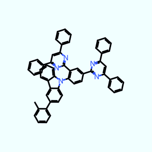 Cc1ccccc1-c1ccc2c(c1)c1ccccc1n2-c1ccc(-c2nc(-c3ccccc3)cc(-c3ccccc3)n2)cc1-c1nc(-c2ccccc2)cc(-c2ccccc2)n1